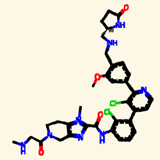 CNCC(=O)N1CCc2c(nc(C(=O)Nc3cccc(-c4ccnc(-c5ccc(CNC[C@@H]6CCC(=O)N6)c(OC)c5)c4Cl)c3Cl)n2C)C1